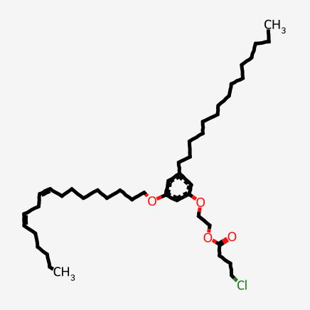 CCCCC/C=C\C/C=C\CCCCCCCCOc1cc(CCCCCCCCCCCCCCC)cc(OCCOC(=O)CCCCl)c1